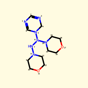 C1=NC=NCN1N(NN1CCOCC1)N1CCOCC1